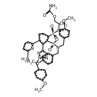 COc1ccc(CN(Cc2ccc(OC)cc2)S(=O)(=O)c2c(S(=O)(=O)NC(C)COC(N)=O)ccc(-c3cccc(N)n3)c2-c2nnn(Cc3ccc(OC)cc3)n2)cc1